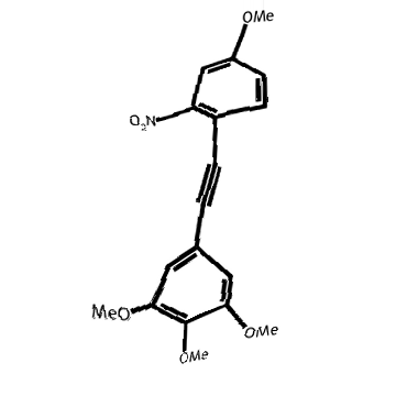 COc1ccc(C#Cc2cc(OC)c(OC)c(OC)c2)c([N+](=O)[O-])c1